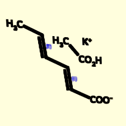 C/C=C/C=C/C(=O)[O-].CC(=O)O.[K+]